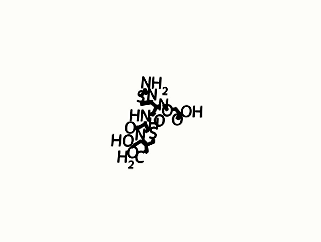 C=CC1=C(C(=O)O)N2C(=O)C(NC(=O)/C(=N\OCC(=O)O)c3csc(N)n3)[C@H]2SC1